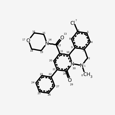 CN1Cc2ccc(Cl)cc2-c2c(C(=O)N3CCOCC3)cc(-c3ccccc3)c(=O)n21